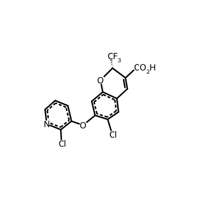 O=C(O)C1=Cc2cc(Cl)c(Oc3cccnc3Cl)cc2O[C@@H]1C(F)(F)F